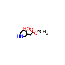 CCOC(=O)/C=C1/CNCCC1O